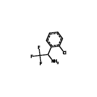 NC(c1ccccc1Cl)C(F)(F)F